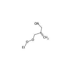 C=C(CN=O)COOCC